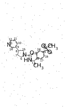 CC(NC(=O)N1CCC(c2cccnc2)C1)c1ccc(S(C)(=O)=O)cc1